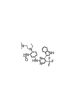 CCN(CCN(C)C)c1ccc(Nc2ncc(C(F)(F)F)c(-c3c[nH]c4ccccc34)n2)cc1NC(C)=O